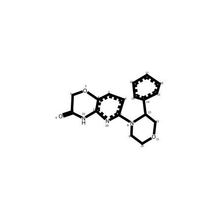 O=C1COc2ccc(N3CCOCC3c3ccccc3)nc2N1